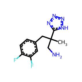 CC(CN)(Cc1ccc(F)c(F)c1)c1nnn[nH]1